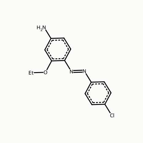 CCOc1cc(N)ccc1N=Nc1ccc(Cl)cc1